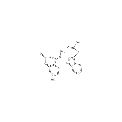 Cl.NOc1cc(=O)oc2ccccc12.O=C(O)Cc1onc2ccccc12